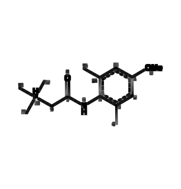 COc1cc(C)c(NC(=O)C[PH](C)(C)C)c(C)c1